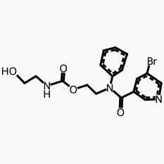 O=C(NCCO)OCCN(C(=O)c1cncc(Br)c1)c1ccccc1